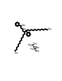 OP(O)O.OP(O)O.SCCCCCCCCCCCCC(CCCC(S)c1ccccc1)C(S)(CCCCCCCCCCCCS)c1ccccc1